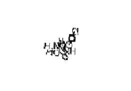 Nc1ncc(Oc2ccc(Cl)cc2)c(NC2CCCC2CO)n1